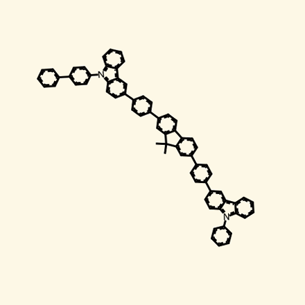 CC1(C)c2cc(-c3ccc(-c4ccc5c(c4)c4ccccc4n5-c4ccccc4)cc3)ccc2-c2ccc(-c3ccc(-c4ccc5c(c4)c4ccccc4n5-c4ccc(-c5ccccc5)cc4)cc3)cc21